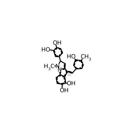 Cc1ccc(/C=c2\c3n(c4ccc(O)c(O)c24)N(C)C(c2ccc(O)c(O)c2)C=3)cc1O